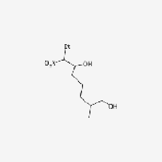 CCC(C(O)CCCC(C)CO)[N+](=O)[O-]